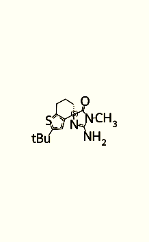 CN1C(=O)[C@@]2(CCCc3sc(C(C)(C)C)cc32)N=C1N